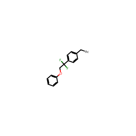 CC(=O)Cc1ccc(C(F)(F)COc2ccccc2)cc1